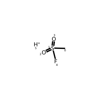 CS(=O)(=O)F.[H+]